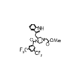 COC(=O)CN1CCN(C(=O)c2cc(C(F)(F)F)cc(C(F)(F)F)c2)C(Cc2c[nH]c3ccccc23)C1